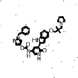 CC(C)(COc1ccc2[nH]c(-c3cc(NC(=O)Oc4cnn(Cc5ccccc5)c4)c[nH]c3=O)cc2c1)CN1CCCC1